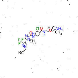 C#CCn1cc(-c2cnc(C(=O)Nc3ccc(C(=O)NCCOCC(C)(C)N)c(Cl)c3)n2C)c(C(F)(F)F)n1